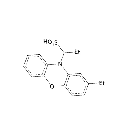 CCc1ccc2c(c1)N(C(CC)S(=O)(=O)O)c1ccccc1O2